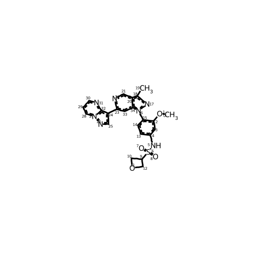 COc1cc(NS(=O)(=O)C2COC2)ccc1-n1nc(C)c2cnc(-c3cnn4cccnc34)cc21